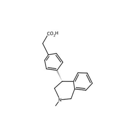 CN1Cc2ccccc2[C@@H](c2ccc(CC(=O)O)cc2)C1